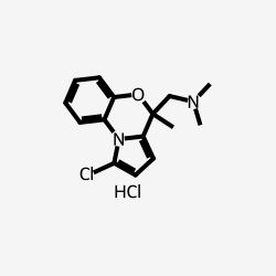 CN(C)CC1(C)Oc2ccccc2-n2c(Cl)ccc21.Cl